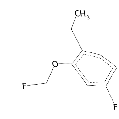 CCc1ccc(F)cc1OCF